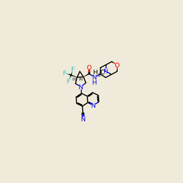 CN1C2COCC1CC(NC(=O)[C@@]13CN(c4ccc(C#N)c5ncccc45)C[C@]1(C(F)(F)F)C3)C2